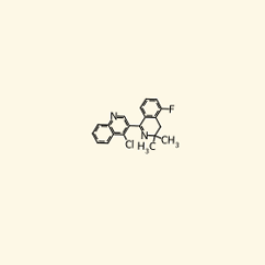 CC1(C)Cc2c(F)cccc2C(c2cnc3ccccc3c2Cl)=N1